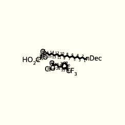 CCCCCCCCCCCCCCCCCCCCCCCCCCS(=O)(=O)CCC(=O)O.O=C(CCc1cccc(C(F)(F)F)c1)OCl